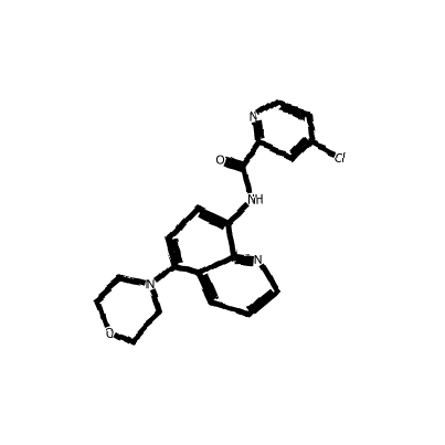 O=C(Nc1ccc(N2CCOCC2)c2cccnc12)c1cc(Cl)ccn1